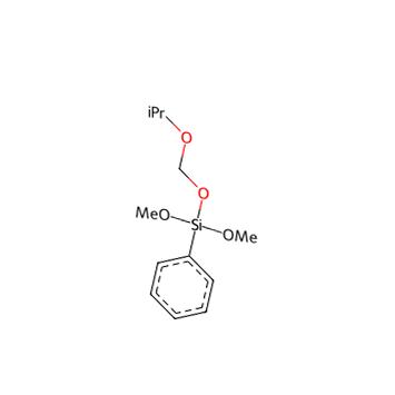 CO[Si](OC)(OCOC(C)C)c1ccccc1